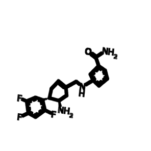 NC(=O)c1cccc(NCC2=CC[C@@H](c3cc(F)c(F)cc3F)[C@H](N)C2)c1